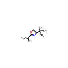 CC(C)C1=NC(C(C)(C)C)CO1